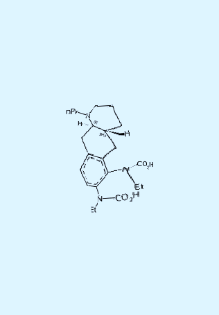 CCCN1CCC[C@@H]2Cc3c(ccc(N(CC)C(=O)O)c3N(CC)C(=O)O)C[C@H]21